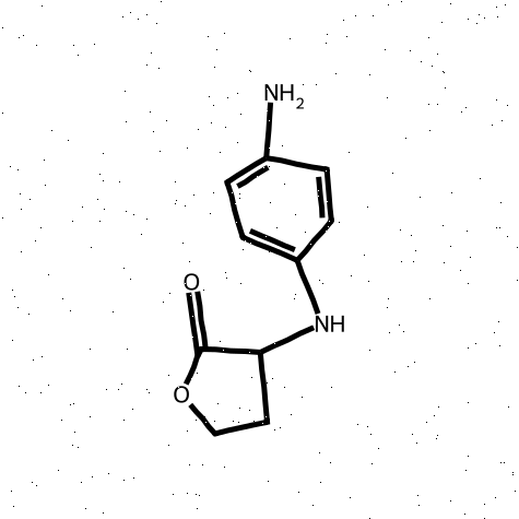 Nc1ccc(NC2CCOC2=O)cc1